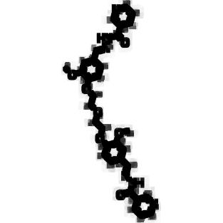 COc1cc(C=NNC(=O)c2cccnc2)ccc1OCCOCCOc1ccc(C=NNC(=O)c2cccnc2)cc1OC